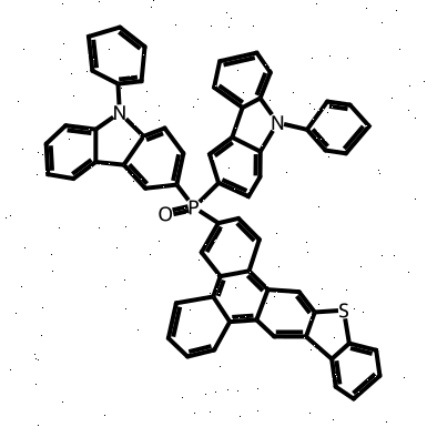 O=P(c1ccc2c(c1)c1ccccc1c1cc3c(cc21)sc1ccccc13)(c1ccc2c(c1)c1ccccc1n2-c1ccccc1)c1ccc2c(c1)c1ccccc1n2-c1ccccc1